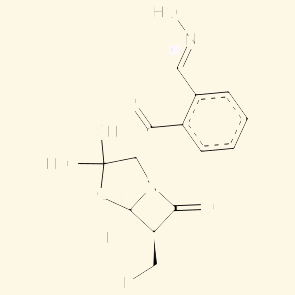 CC1(C)S[C@@H]2[C@H](CF)C(=O)N2[C@H]1C(=O)c1ccccc1/C=N/O